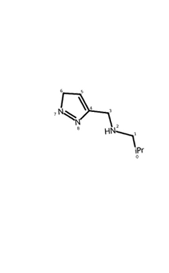 CC(C)CNCC1=CCN=N1